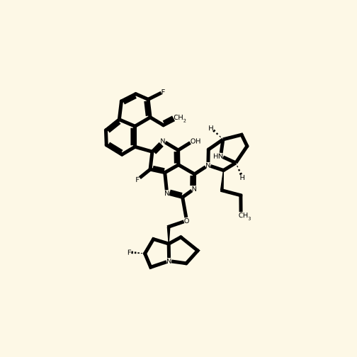 C=Cc1c(F)ccc2cccc(-c3nc(O)c4c(N5C[C@H]6CC[C@H](N6)[C@H]5CCC)nc(OC[C@@]56CCCN5C[C@H](F)C6)nc4c3F)c12